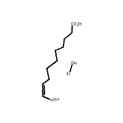 CCCCCCCC/C=C\CCCCCCCC(=O)OCC.CCO